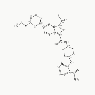 NC(=O)c1cccnc1OC1CCC(NC(=O)c2nc(C(F)F)n3cc(N4CCOC(CCO)C4)ccc23)CC1